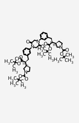 CC(C)(C)OC(=O)[C@@H](Cc1cccc(N2CC(=O)N(c3cccc(C[C@H](C(=O)OC(C)(C)C)[C@H]4CCN(C(=O)OC(C)(C)C)C4)c3)CC2=O)c1)[C@H]1CCN(C(=O)OC(C)(C)C)C1